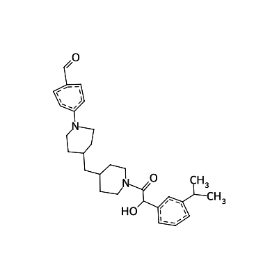 CC(C)c1cccc(C(O)C(=O)N2CCC(CC3CCN(c4ccc(C=O)cc4)CC3)CC2)c1